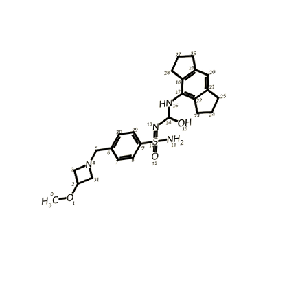 COC1CN(Cc2ccc(S(N)(=O)=NC(O)Nc3c4c(cc5c3CCC5)CCC4)cc2)C1